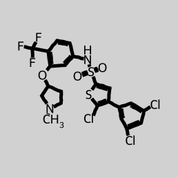 CN1CCC(Oc2cc(NS(=O)(=O)c3cc(-c4cc(Cl)cc(Cl)c4)c(Cl)s3)ccc2C(F)(F)F)C1